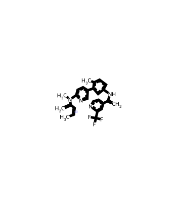 C=C(Nc1ccc(C)c(-c2ccc(N(C)C(=C)/C=C\C)nc2)c1)c1ccnc(C(F)(F)F)c1